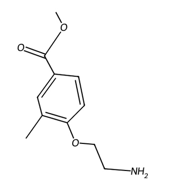 COC(=O)c1ccc(OCCN)c(C)c1